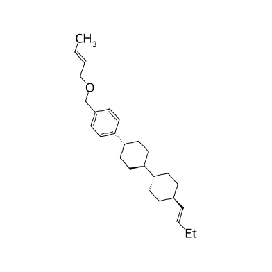 CC=CCOCc1ccc([C@H]2CC[C@H]([C@H]3CC[C@H](C=CCC)CC3)CC2)cc1